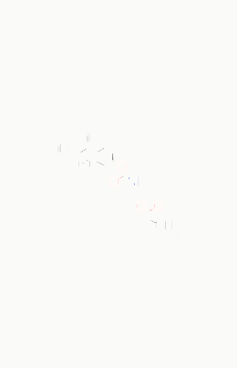 C=CC(=O)OCCNC(=O)Oc1ccc(C(=C(C(C)C)C(C)C)C(C)C)cc1